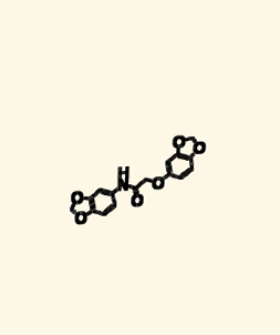 O=C(COc1ccc2c(c1)OCO2)Nc1ccc2c(c1)OCO2